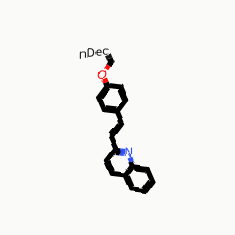 CCCCCCCCCCCOc1ccc(C=Cc2ccc3ccccc3n2)cc1